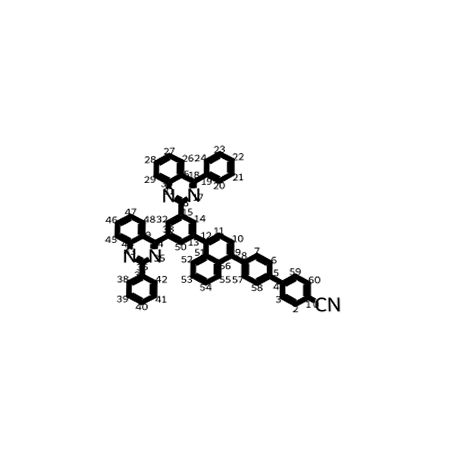 N#Cc1ccc(-c2ccc(-c3ccc(-c4cc(-c5nc(-c6ccccc6)c6ccccc6n5)cc(-c5nc(-c6ccccc6)nc6ccccc56)c4)c4ccccc34)cc2)cc1